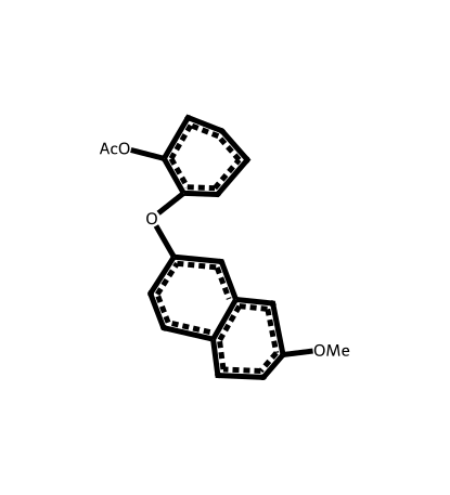 COc1ccc2ccc(Oc3ccccc3OC(C)=O)cc2c1